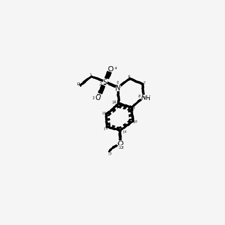 CCS(=O)(=O)N1CCNc2cc(OC)ccc21